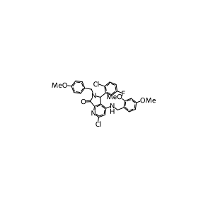 COc1ccc(CN2C(=O)c3nc(Cl)cc(NCc4ccc(OC)cc4OC)c3C2c2cc(F)ccc2Cl)cc1